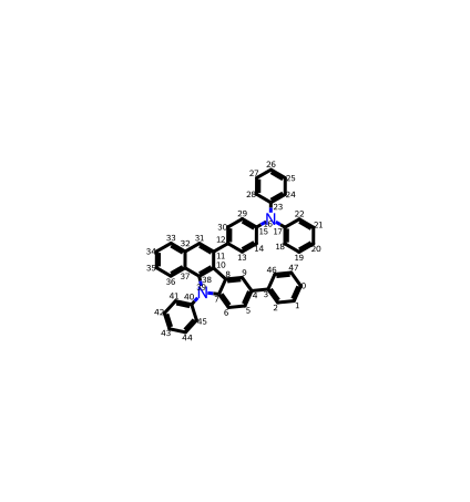 c1ccc(-c2ccc3c(c2)c2c(-c4ccc(N(c5ccccc5)c5ccccc5)cc4)cc4ccccc4c2n3-c2ccccc2)cc1